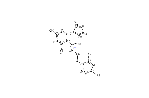 Fc1cc(Cl)cnc1CO/N=C(\Cn1ccnc1)c1ccc(Cl)cc1Cl